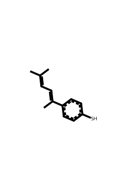 CC(C)=C/C=C(\C)c1ccc(S)cc1